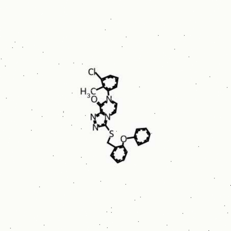 Cc1c(Cl)cccc1-n1ccn2c(SCc3ccccc3Oc3ccccc3)nnc2c1=O